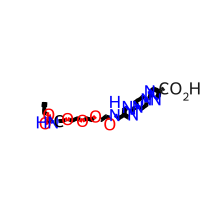 C#CCOC(=O)NCCOCCOCCOCCC(=O)NCc1cnc(N2CCN(c3ncc(C(=O)O)cn3)CC2)nc1